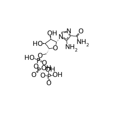 NC(=O)c1ncn([C@@H]2O[C@H](COP(=O)(O)OP(=O)(O)OP(=O)(O)O)[C@@H](O)[C@H]2O)c1N